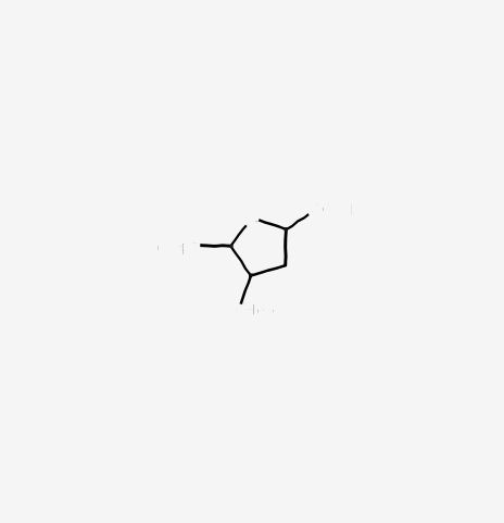 CCCCCCCC1CC(C(=O)O)SC1CCCCCCC